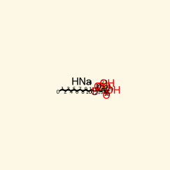 CCCCCCCCCCCCOC(=O)CC(C(=O)O)S(=O)(=O)O.[NaH]